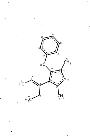 CCC(=NO)c1c(C)nn(C)c1Oc1ccccc1